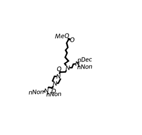 CCCCCCCCCCN(CCCCCCCCC)CCN(CCCCCCCC(=O)OC)CC(=O)N1CCN(C(=O)CN(CCCCCCCCC)CCCCCCCCC)CC1